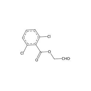 O=[C]COC(=O)c1c(Cl)cccc1Cl